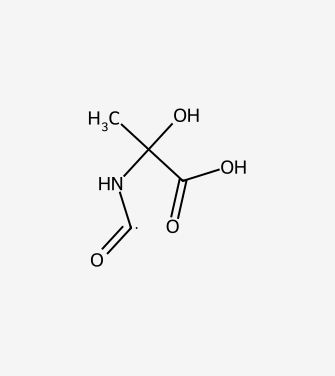 CC(O)(N[C]=O)C(=O)O